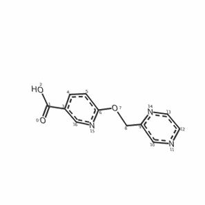 O=C(O)c1ccc(OCc2cnccn2)nc1